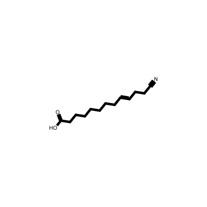 N#CCC/C=C/CCCCCCCC(=O)O